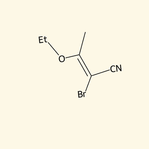 CCO/C(C)=C(\Br)C#N